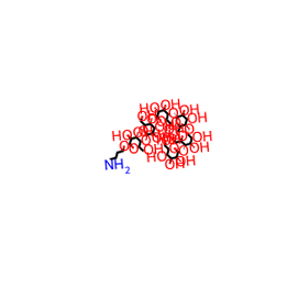 NCCCCO[C@H]1OC(CO)[C@H](O[C@H]2OC(CO)[C@@H](O[C@@H]3OC(CO)[C@@H](O[C@H]4OC(CO)[C@H](O[C@H]5OC(CO)[C@@H](O[C@@H]6OC(CO)[C@@H](O)C(O)[C@@H]6O)[C@H](O)C5O)[C@H](O)C4O)C(O)[C@@H]3O)[C@H](O)C2O)[C@H](O)C1O